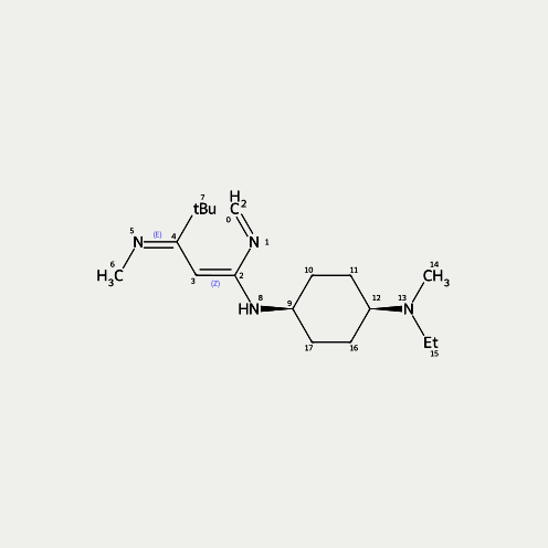 C=N/C(=C\C(=N/C)C(C)(C)C)N[C@H]1CC[C@@H](N(C)CC)CC1